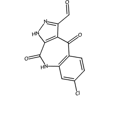 O=Cc1n[nH]c2c(=O)[nH]c3cc(Cl)ccc3c(=O)c12